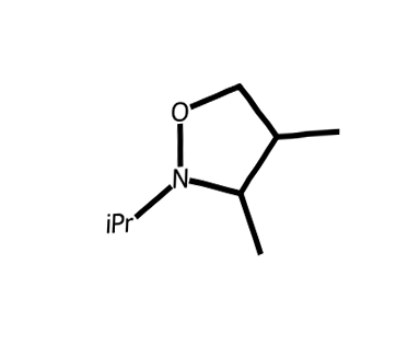 CC1CON(C(C)C)C1C